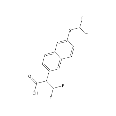 O=C(O)C(c1ccc2cc(SC(F)F)ccc2c1)C(F)F